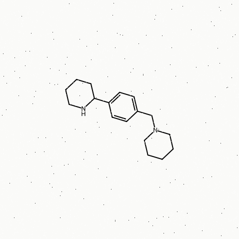 c1cc(C2CCCCN2)ccc1CN1CCCCC1